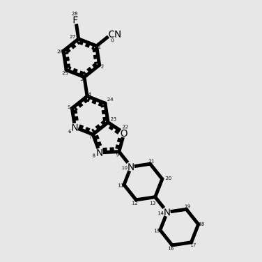 N#Cc1cc(-c2cnc3nc(N4CCC(N5CCCCC5)CC4)oc3c2)ccc1F